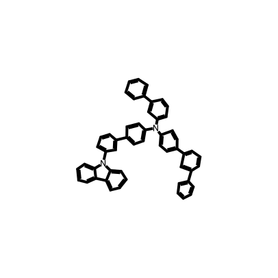 c1ccc(-c2cccc(-c3ccc(N(c4ccc(-c5cccc(-n6c7ccccc7c7ccccc76)c5)cc4)c4cccc(-c5ccccc5)c4)cc3)c2)cc1